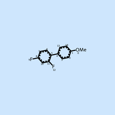 COc1ccc(-c2ccc(F)cc2F)cc1